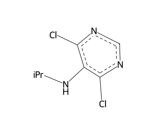 CC(C)Nc1c(Cl)ncnc1Cl